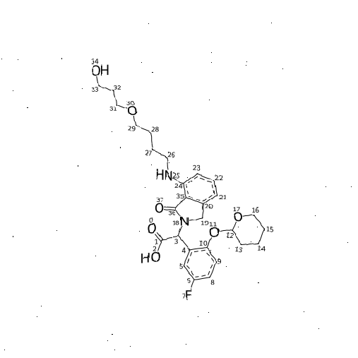 O=C(O)C(c1cc(F)ccc1OC1CCCCO1)N1Cc2cccc(NCCCCOCCCO)c2C1=O